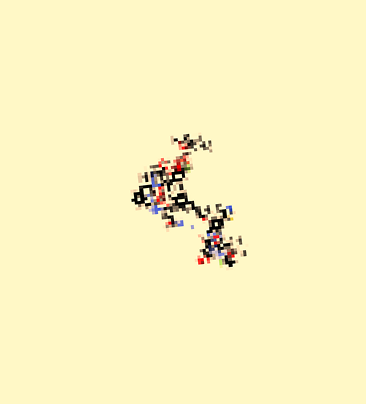 C/C(=C\C(=O)N[C@H]1CCc2cccc3c2N(C1=O)[C@H](C(=O)N[C@@H](CCC(N)=O)[C@@H](C)OCc1ccc(CCCCCOc2cc(-c4scnc4C)ccc2CNC(=O)[C@@H]2C[C@@H](O)CN2C(=O)[C@@H](NC(=O)C2(F)CC2)C(C)(C)C)cc1)C3)c1ccc(C(F)(F)P(=O)(OCOC(=O)C(C)(C)C)OCOC(=O)C(C)(C)C)cc1